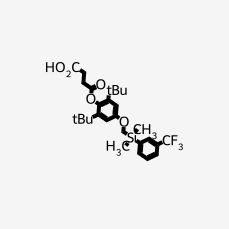 CC(C)(C)c1cc(OC[Si](C)(C)c2cccc(C(F)(F)F)c2)cc(C(C)(C)C)c1OC(=O)CCC(=O)O